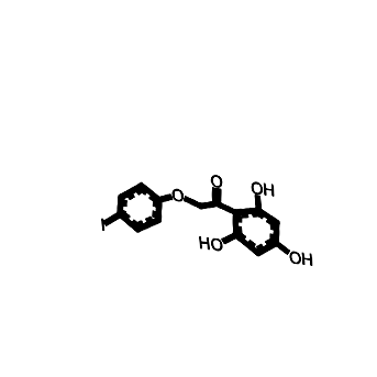 O=C(COc1ccc(I)cc1)c1c(O)cc(O)cc1O